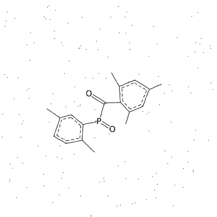 Cc1cc(C)c(C(=O)[P](=O)c2cc(C)ccc2C)c(C)c1